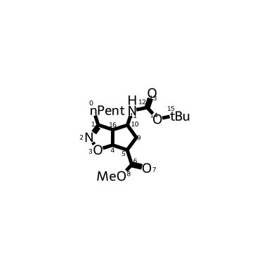 CCCCCC1=NOC2C(C(=O)OC)CC(NC(=O)OC(C)(C)C)C12